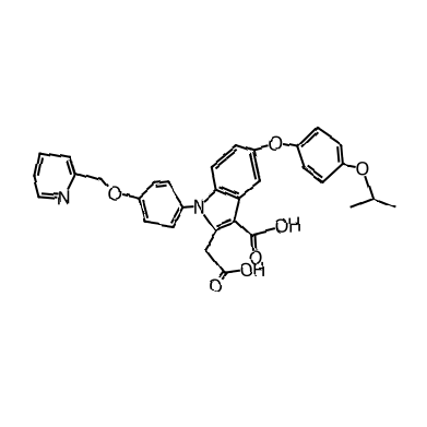 CC(C)Oc1ccc(Oc2ccc3c(c2)c(C(=O)O)c(CC(=O)O)n3-c2ccc(OCc3ccccn3)cc2)cc1